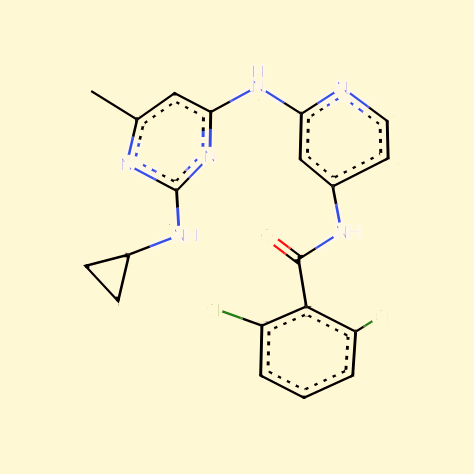 Cc1cc(Nc2cc(NC(=O)c3c(Cl)cccc3Cl)ccn2)nc(NC2CC2)n1